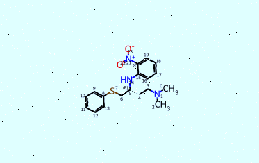 CN(C)CC[C@H](CSc1ccccc1)Nc1ccccc1[N+](=O)[O-]